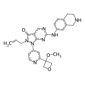 C=CCn1c(=O)c2cnc(Nc3ccc4c(c3)CNCC4)nc2n1-c1ccnc(C2(OC)COC2)c1